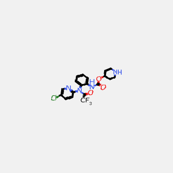 O=C(Nc1ccccc1N(C(=O)C(F)(F)F)c1ccc(Cl)cn1)OC1CCNCC1